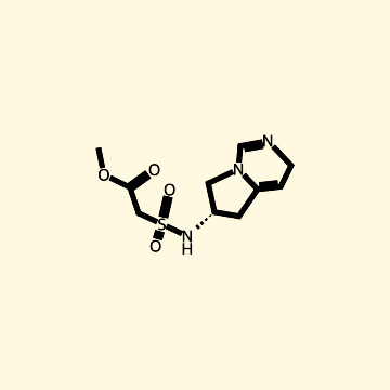 COC(=O)CS(=O)(=O)N[C@H]1CC2=CCN=CN2C1